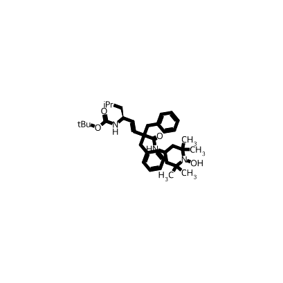 CC(C)C[C@@H](/C=C/C(Cc1ccccc1)(Cc1ccccc1)C(=O)NC1CC(C)(C)N(O)C(C)(C)C1)NC(=O)OC(C)(C)C